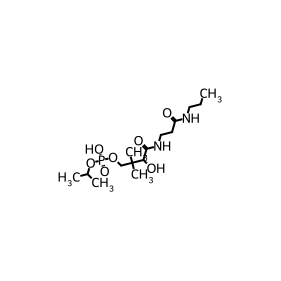 CCCNC(=O)CCNC(=O)C(O)C(C)(C)COP(=O)(O)OC(C)C